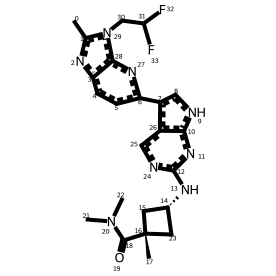 Cc1nc2ccc(-c3c[nH]c4nc(N[C@H]5C[C@@](C)(C(=O)N(C)C)C5)ncc34)nc2n1CC(F)F